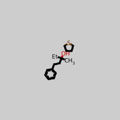 C1CCSC1.CCC(C)(O)CCc1ccccc1